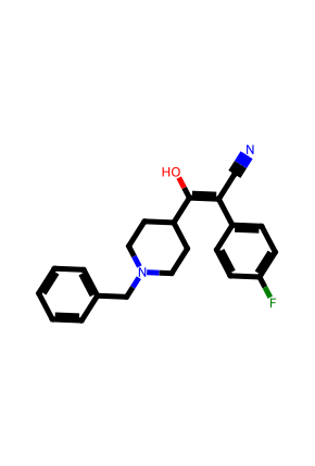 N#C/C(=C(\O)C1CCN(Cc2ccccc2)CC1)c1ccc(F)cc1